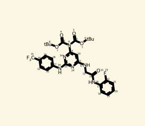 CC(C)(C)OC(=O)N(C(=O)OC(C)(C)C)c1cc(NCC(=O)Nc2ccccc2F)nc(Nc2ccc(C(F)(F)F)cc2)n1